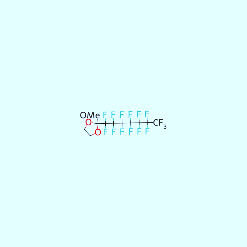 COC1(C(F)(F)C(F)(F)C(F)(F)C(F)(F)C(F)(F)C(F)(F)C(F)(F)F)OCCO1